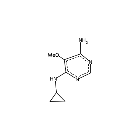 COc1c(N)ncnc1NC1CC1